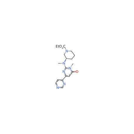 CCOC(=O)N1CCC[C@@H](N(C)c2nc(-c3ccncn3)cc(=O)n2C)C1